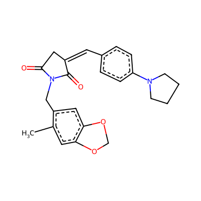 Cc1cc2c(cc1CN1C(=O)CC(=Cc3ccc(N4CCCC4)cc3)C1=O)OCO2